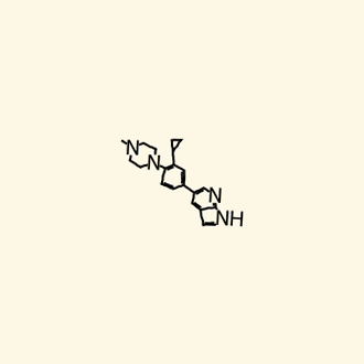 CN1CCN(c2ccc(-c3cnc4[nH]ccc4c3)cc2C2CC2)CC1